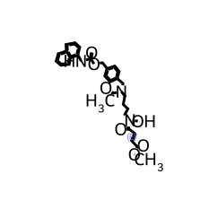 COC(=O)/C=C/C(=O)N(O)CCCCN(Cc1ccc(COC(=O)Nc2cccc3ccccc23)cc1)C(C)=O